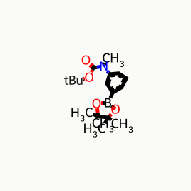 CN(C(=O)OC(C)(C)C)c1cccc(B2OC(C)(C)C(C)(C)O2)c1